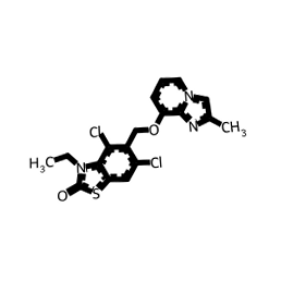 CCn1c(=O)sc2cc(Cl)c(COc3cccn4cc(C)nc34)c(Cl)c21